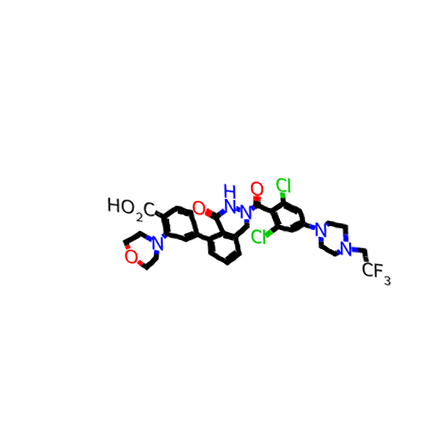 O=C(O)c1ccc(-c2cccc3c2C(=O)NN(C(=O)c2c(Cl)cc(N4CCN(CC(F)(F)F)CC4)cc2Cl)C3)cc1N1CCOCC1